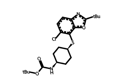 CC(C)(C)OC(=O)N[C@H]1CC[C@@H](Sc2c(Cl)ccc3nc(C(C)(C)C)oc23)CC1